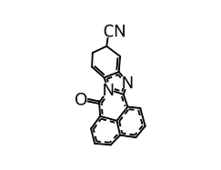 N#CC1C=c2nc3c4cccc5cccc(c(=O)n3c2=CC1)c54